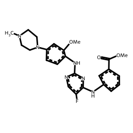 COC(=O)c1cccc(Nc2nc(Nc3ccc(N4CCN(C)CC4)cc3OC)ncc2F)c1